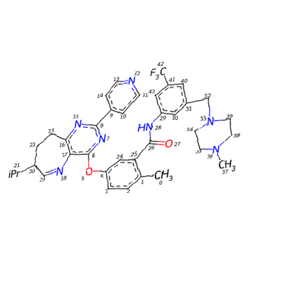 Cc1ccc(Oc2nc(-c3ccncc3)nc3c2N=CC(C(C)C)CC3)cc1C(=O)Nc1cc(CN2CCN(C)CC2)cc(C(F)(F)F)c1